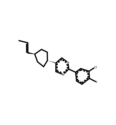 CC=C[C@H]1CC[C@H](c2cnc(-c3ccc(F)c(Cl)c3)nc2)CC1